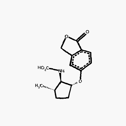 C[C@H]1CC[C@@H](Oc2ccc3c(c2)COC3=O)[C@@H]1NC(=O)O